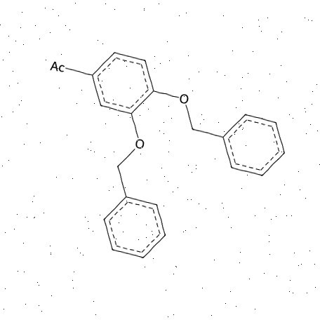 CC(=O)c1ccc(OCc2ccccc2)c(OCc2ccccc2)c1